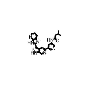 CC(C)CC(=O)Nc1cncc(-c2cc3c(-c4nc5cccnc5[nH]4)n[nH]c3cn2)c1